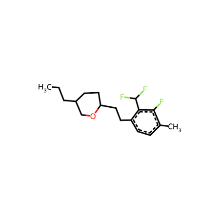 CCCC1CCC(CCc2ccc(C)c(F)c2C(F)F)OC1